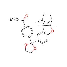 COC(=O)c1ccc(C2(c3ccc4c(c3)C3(C)C5(C)CCC(C5)C3(C)O4)OCCO2)cc1